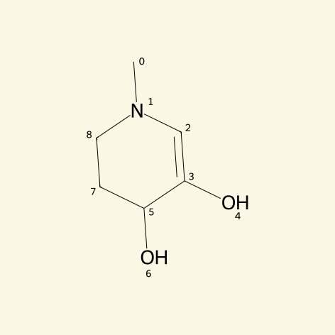 CN1C=C(O)C(O)CC1